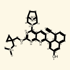 C#Cc1cccc2cc(O)cc(-c3ccc4c(N5CC6CCC(C5)N6)nc(OCC5(CN(C)C)CC5)nc4n3)c12